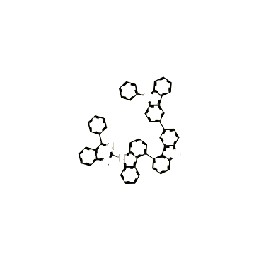 c1ccc(-c2nc(-n3c4ccccc4c4c(-c5cccc6oc7ccc(-c8ccc9c(c8)c8ccccc8n9-c8ccccc8)cc7c56)cccc43)nc3ccccc23)cc1